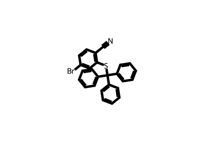 N#Cc1ccc(Br)cc1SC(c1ccccc1)(c1ccccc1)c1ccccc1